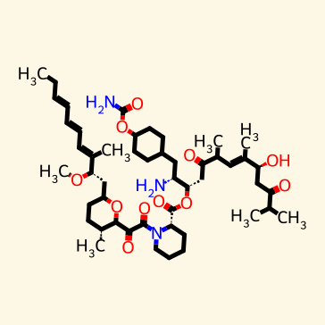 CC/C=C/C=C/C=C(\C)[C@H](CC1CC[C@@H](C)C(C(=O)C(=O)N2CCCC[C@H]2C(=O)O[C@@H](CC(=O)C(C)/C=C(\C)[C@@H](O)CC(=O)C(C)C)[C@H](N)CC2CCC(OC(N)=O)CC2)O1)OC